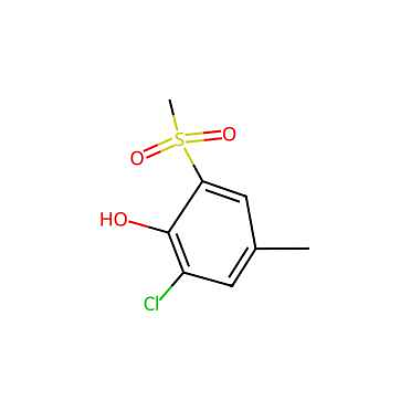 Cc1cc(Cl)c(O)c(S(C)(=O)=O)c1